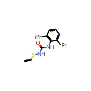 C=CSNC(=O)Nc1c(C(C)C)cccc1C(C)C